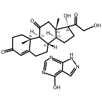 C[C@]12CCC(=O)C=C1CC[C@@H]1[C@@H]2C(=O)C[C@@]2(C)[C@H]1CC[C@]2(O)C(=O)CO.Oc1ncnc2[nH]ncc12